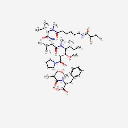 CC[C@@H](C)[C@@H]([C@@H](CC(=O)N1CCC[C@H]1C(OC)C(C)C(=O)N[C@@H](Cc1ccccc1)C(=O)O)OC)N(C)C(=O)[C@@H](NC(=O)[C@H](C(C)C)N(C)C(=O)CCCCCNC(=O)C(Br)CBr)C(C)C